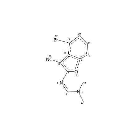 CN(C)/C=N\c1oc2cccc(Br)c2c1C#N